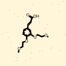 COCCOc1ccc(/C=C/C(=O)O)cc1OCCOC